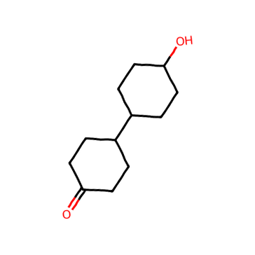 O=C1CCC(C2CCC(O)CC2)CC1